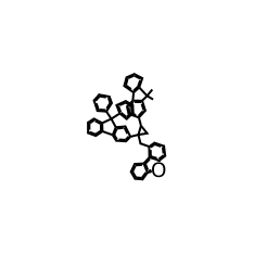 CC1(C)c2ccccc2-c2ccc(C3CC3(Cc3cccc4oc5ccccc5c34)c3ccc4c(c3)C(c3ccccc3)(c3ccccc3)c3ccccc3-4)cc21